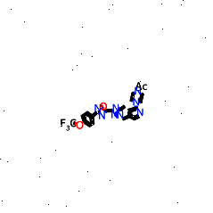 CC(=O)N1CCN(c2cc(Cn3nc(-c4nc(-c5ccc(OC(F)(F)F)cc5)no4)nc3C)ccn2)CC1